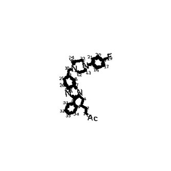 CC(=O)CCCCc1nc2cc(CN3CCN(c4ccc(F)cc4)C[C@H]3C)ccc2nc1-c1ccccc1